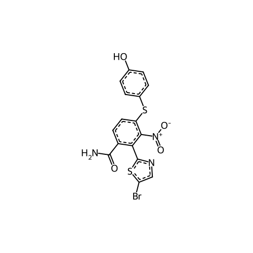 NC(=O)c1ccc(Sc2ccc(O)cc2)c([N+](=O)[O-])c1-c1ncc(Br)s1